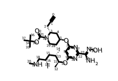 C#CC[C@@H]1C[C@@H](Oc2cc(O[C@@H](C)[C@@H](C)C[C@H](F)CNC)nc(C(N)=NO)n2)CCN1C(=O)OC(C)(C)C